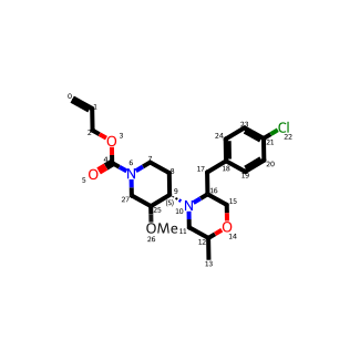 C=CCOC(=O)N1CC[C@H](N2CC(C)OCC2Cc2ccc(Cl)cc2)C(OC)C1